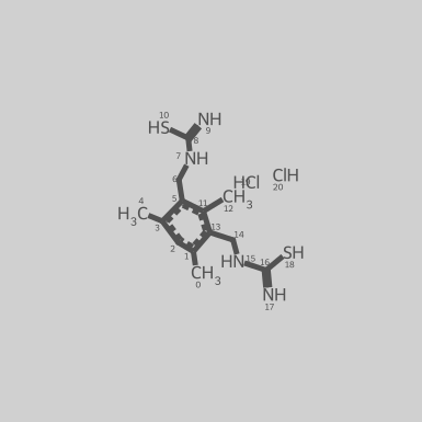 Cc1cc(C)c(CNC(=N)S)c(C)c1CNC(=N)S.Cl.Cl